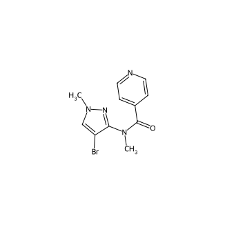 CN(C(=O)c1ccncc1)c1nn(C)cc1Br